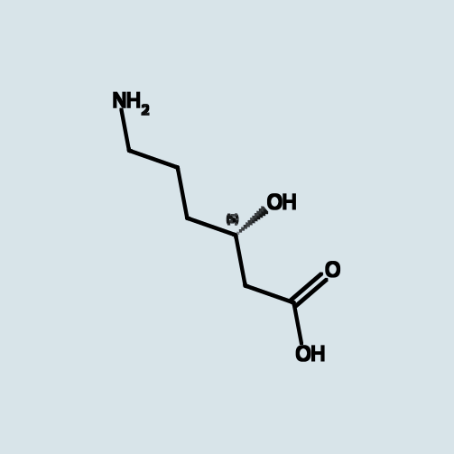 NCCC[C@H](O)CC(=O)O